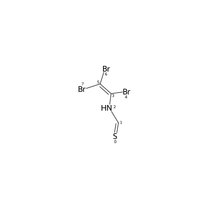 S=CNC(Br)=C(Br)Br